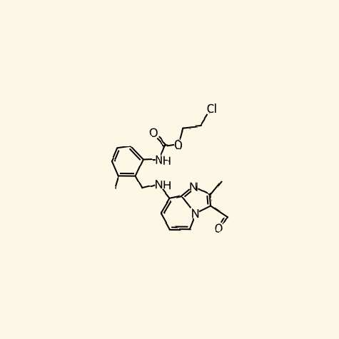 Cc1cccc(NC(=O)OCCCl)c1CNc1cccn2c(C=O)c(C)nc12